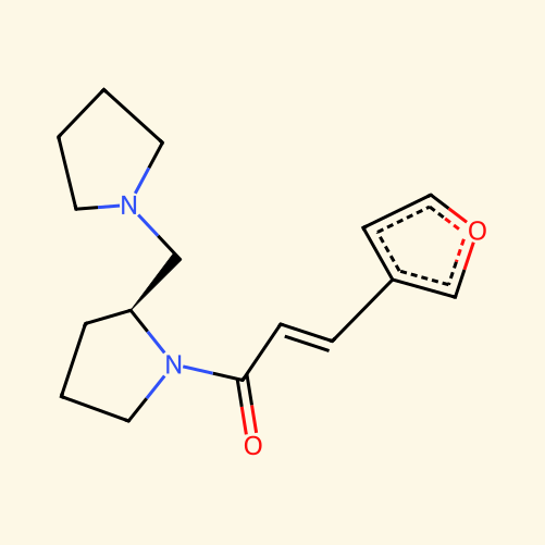 O=C(/C=C/c1ccoc1)N1CCC[C@H]1CN1CCCC1